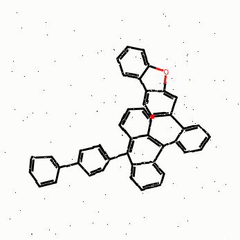 c1ccc(-c2ccc(-c3c4ccccc4c(-c4ccccc4-c4ccc5c(c4)oc4ccccc45)c4ccccc34)cc2)cc1